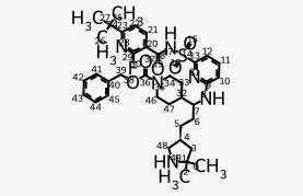 CC1(C)C[C@H](CCC(Nc2cccc(S(=O)(=O)NC(=O)c3ccc(C(C)(C)C)nc3F)n2)C2CCN(C(=O)OCc3ccccc3)CC2)CN1